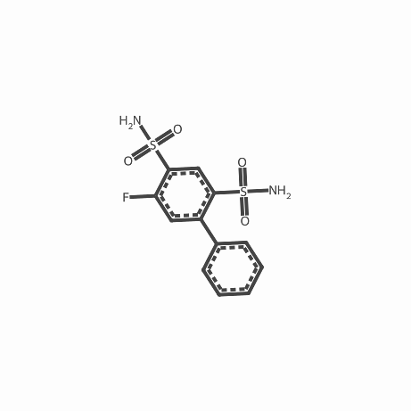 NS(=O)(=O)c1cc(S(N)(=O)=O)c(-c2ccccc2)cc1F